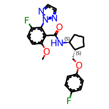 COc1ccc(F)c(-n2nccn2)c1C(=O)N[C@H]1CCC[C@@H]1COc1ccc(F)cc1